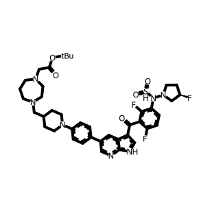 CC(C)(C)OC(=O)CN1CCCN(CC2CCN(c3ccc(-c4cnc5[nH]cc(C(=O)c6c(F)ccc(N(N7CC[C@@H](F)C7)[SH](=O)=O)c6F)c5c4)cc3)CC2)CC1